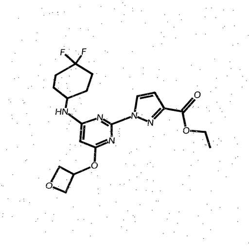 CCOC(=O)c1ccn(-c2nc(NC3CCC(F)(F)CC3)cc(OC3COC3)n2)n1